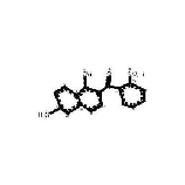 Nc1ccc2c(O)c(C(=O)c3ccccc3C(=O)O)ccc2c1